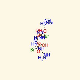 C=C(N)NCCCCC(=O)Nc1cc(Br)cc(NC(=O)c2cc(C(=O)Nc3cc(Br)cc(NC(=O)CCCCNC(=N)N)c3SCCO)ncn2)c1SCCO